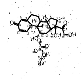 C[C@H]1C[C@H]2[C@@H]3CCC4=CC(=O)C=C[C@]4(C)[C@@]3(F)[C@@H](O)C[C@]2(C)[C@@]1(O)C(=O)CO.O=P([O-])([O-])O.[Na+].[Na+]